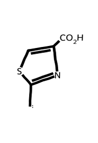 [CH]c1nc(C(=O)O)cs1